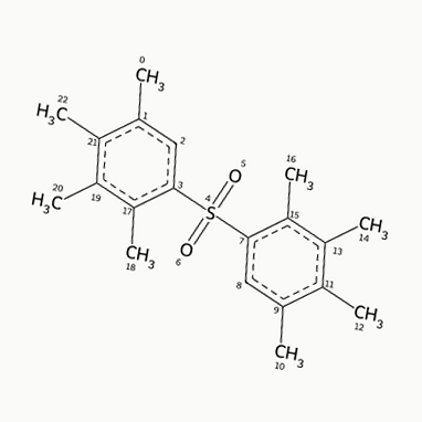 Cc1cc(S(=O)(=O)c2cc(C)c(C)c(C)c2C)c(C)c(C)c1C